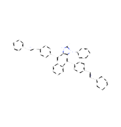 Cc1nc2c(-c3ccc(/C=C/c4ccccc4)cc3)c3ccccc3c(-c3ccc(/C=C/c4ccccc4)cc3)c2n1-c1ccccc1